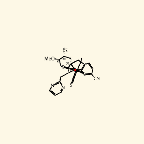 CC[C@@H]1C[C@]2(CC[C@H]1OC)Cc1ccc(C#N)cc1[C@]21NC(=S)N(Cc2ncccn2)C1=O